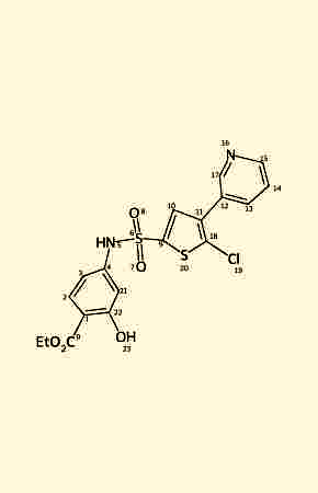 CCOC(=O)c1ccc(NS(=O)(=O)c2cc(-c3cccnc3)c(Cl)s2)cc1O